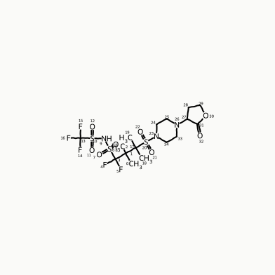 CC(C)(C(F)(F)S(=O)(=O)NS(=O)(=O)C(F)(F)F)C(C)(C)S(=O)(=O)N1CCN(C2CCOC2=O)CC1